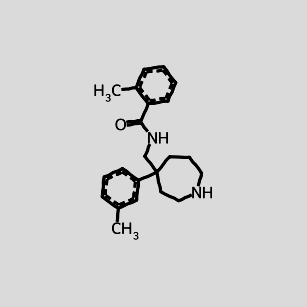 Cc1cccc(C2(CNC(=O)c3ccccc3C)CCCNCC2)c1